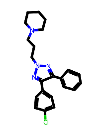 Clc1ccc(-c2nn(CCCN3CCCCC3)nc2-c2ccccc2)cc1